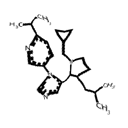 CC(C)CC1CCN(CC2CC2)C1c1cncn1-c1ccc(C(C)C)nc1